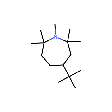 CN1C(C)(C)CCC(C(C)(C)C)CC1(C)C